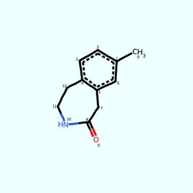 Cc1ccc2c(c1)CC(=O)NCC2